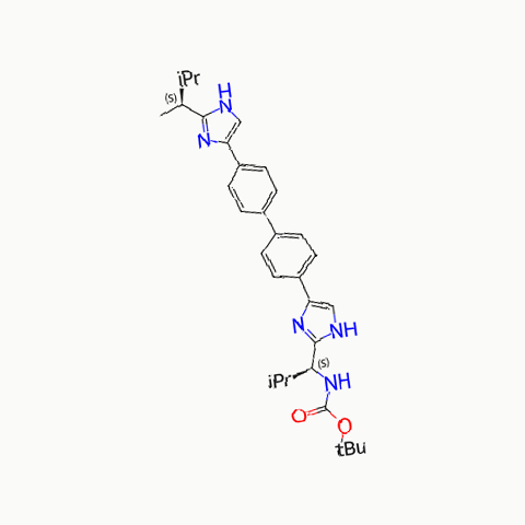 CC(C)[C@H](C)c1nc(-c2ccc(-c3ccc(-c4c[nH]c([C@@H](NC(=O)OC(C)(C)C)C(C)C)n4)cc3)cc2)c[nH]1